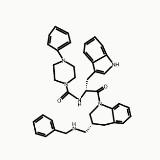 O=C(N[C@H](Cc1c[nH]c2ccccc12)C(=O)N1C[C@@H](CNCc2ccccc2)Cc2ccccc21)N1CCN(c2ccccc2)CC1